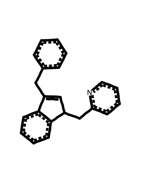 C1=C(Cc2ccccc2)c2ccccc2C1Cc1ccccn1